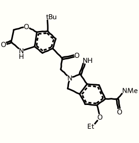 CCOc1cc2c(cc1C(=O)NC)C(=N)N(CC(=O)c1cc3c(c(C(C)(C)C)c1)OCC(=O)N3)C2